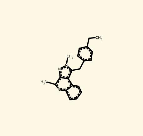 CCc1ccc(Cc2c3c(nn2C)c(N)nc2ccccc23)cc1